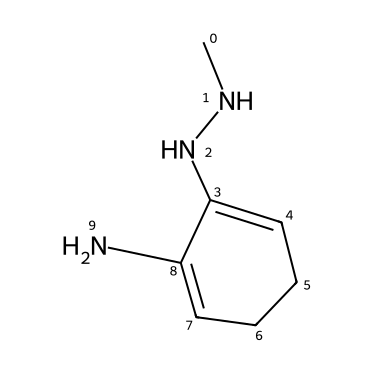 CNNC1=CCCC=C1N